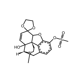 CN1CC[C@]23c4c5ccc(OS(C)(=O)=O)c4OC2C2(C=CC3(O)[C@H]1C5)OCCO2